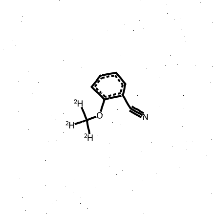 [2H]C([2H])([2H])Oc1ccccc1C#N